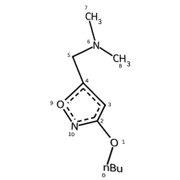 CCCCOc1cc(CN(C)C)on1